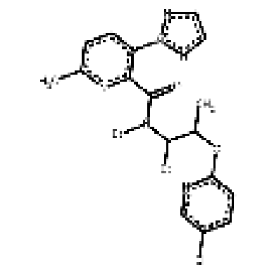 CCC(C(C)Oc1ccc(Cl)cn1)N(CC)C(=O)c1nc(C)ccc1-n1nccn1